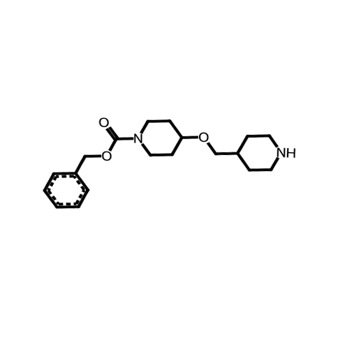 O=C(OCc1ccccc1)N1CCC(OCC2CCNCC2)CC1